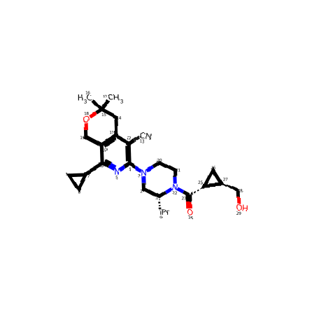 CC(C)[C@@H]1CN(c2nc(C3CC3)c3c(c2C#N)CC(C)(C)OC3)CCN1C(=O)[C@@H]1C[C@H]1CO